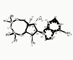 CC(C)[Si]1(C(C)C)OC[C@@H]2C(O[Si](C(C)C)(C(C)C)O1)[C@H](O)[C@H](n1cnc3c(N)ncnc31)[C@H]2C